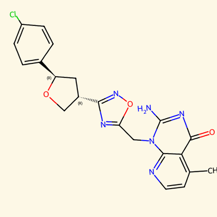 Cc1ccnc2c1c(=O)nc(N)n2Cc1nc([C@@H]2CO[C@@H](c3ccc(Cl)cc3)C2)no1